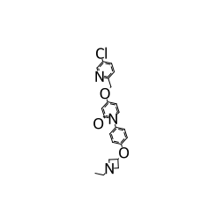 CCN1CC(Oc2ccc(-n3ccc(OCc4ccc(Cl)cn4)cc3=O)cc2)C1